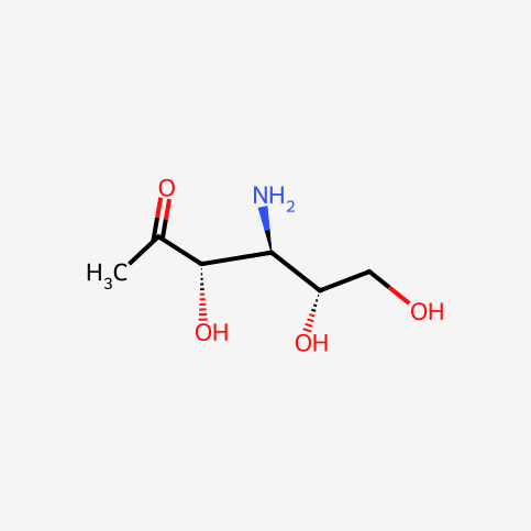 CC(=O)[C@@H](O)[C@@H](N)[C@@H](O)CO